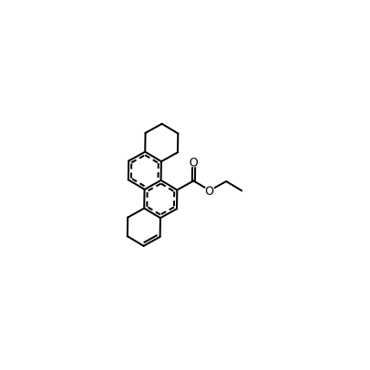 CCOC(=O)c1cc2c(c3ccc4c(c13)CCCC4)CCC=C2